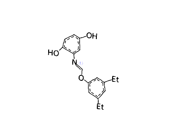 CCc1cc(CC)cc(O/C=N/c2cc(O)ccc2O)c1